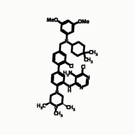 COc1cc(OC)cc(N(Cc2ccc(-c3ccc(N4C[C@H](C)N(C)[C@@H](C)C4)c(Nc4ncnc(Cl)c4N)c3)c(Cl)c2)C2CCC(C)(C)CC2)c1